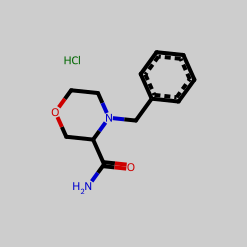 Cl.NC(=O)C1COCCN1Cc1ccccc1